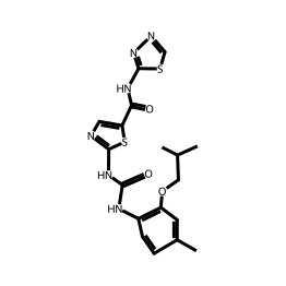 Cc1ccc(NC(=O)Nc2ncc(C(=O)Nc3nncs3)s2)c(OCC(C)C)c1